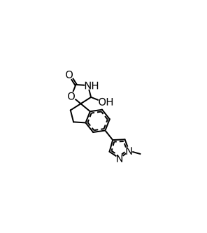 Cn1cc(-c2ccc3c(c2)CCC32OC(=O)NC2O)cn1